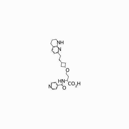 O=C(NC(CCO[C@H]1C[C@H](CCc2ccc3c(n2)NCCC3)C1)C(=O)O)c1ccncc1